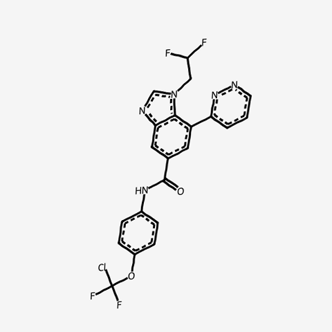 O=C(Nc1ccc(OC(F)(F)Cl)cc1)c1cc(-c2cccnn2)c2c(c1)ncn2CC(F)F